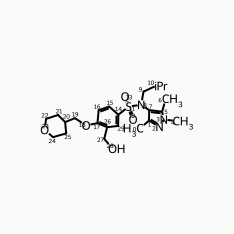 Cc1nn(C)c(C)c1N(CC(C)C)S(=O)(=O)c1ccc(OCC2CCOCC2)c(CO)c1